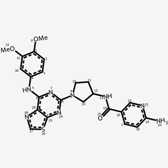 COc1ccc(Nc2nc(N3CCC(NC(=O)c4ccc(N)nc4)C3)nc3scnc23)cc1OC